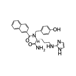 NC(=O)[C@@H](CCCNc1ncc[nH]1)N(Cc1ccc(O)cc1)C(=O)c1ccc2ccccc2c1